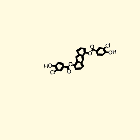 O=C(Oc1cccc2cc3c(OC(=O)c4ccc(O)c(Cl)c4)cccc3cc12)c1ccc(O)c(Cl)c1